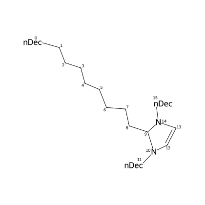 CCCCCCCCCCCCCCCCCCC1N(CCCCCCCCCC)C=CN1CCCCCCCCCC